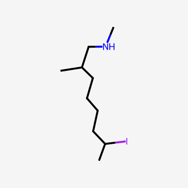 CNCC(C)CCCCC(C)I